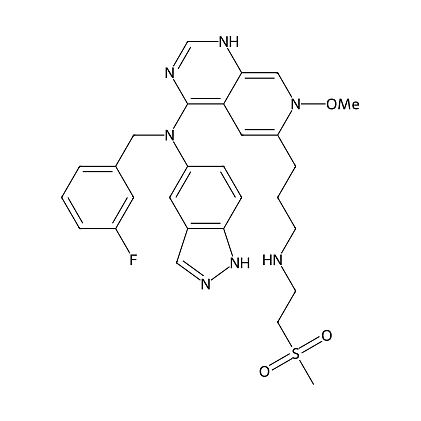 CON1C=C2NC=NC(N(Cc3cccc(F)c3)c3ccc4[nH]ncc4c3)=C2C=C1CCCNCCS(C)(=O)=O